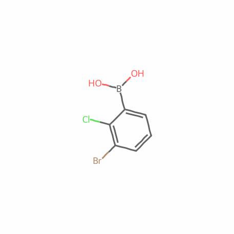 OB(O)c1cccc(Br)c1Cl